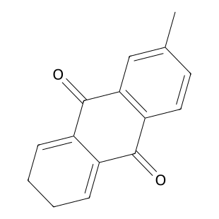 Cc1ccc2c(c1)C(=O)C1=CCCC=C1C2=O